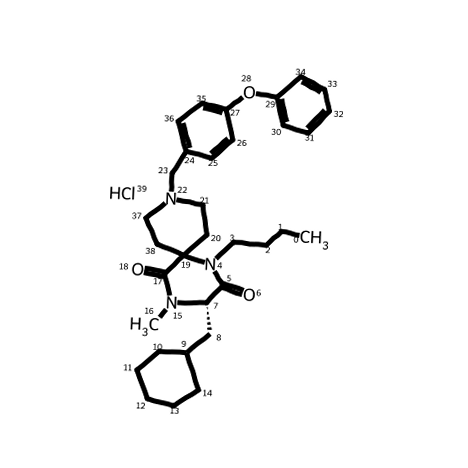 CCCCN1C(=O)[C@H](CC2CCCCC2)N(C)C(=O)C12CCN(Cc1ccc(Oc3ccccc3)cc1)CC2.Cl